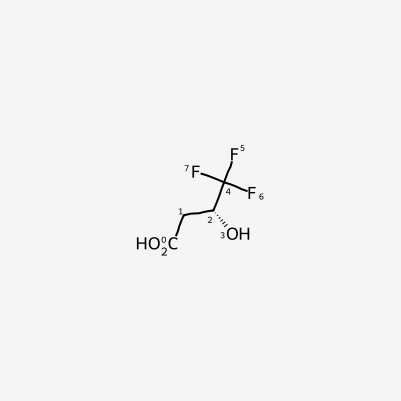 O=C(O)C[C@@H](O)C(F)(F)F